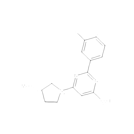 CO[C@H]1CCN(c2cc(C(=O)O)nc(-c3cccc(F)c3)n2)C1